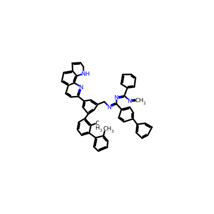 C=N/C(=N\C(=N/Cc1cc(-c2ccc3ccc4c(c3n2)NCC=C4)cc(-c2cccc(-c3ccccc3C)c2C)c1)c1ccc(-c2ccccc2)cc1)c1ccccc1